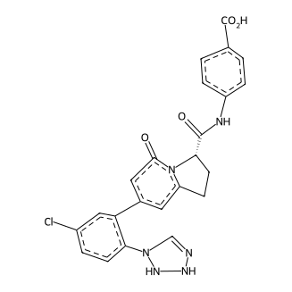 O=C(O)c1ccc(NC(=O)[C@@H]2CCc3cc(-c4cc(Cl)ccc4N4C=NNN4)cc(=O)n32)cc1